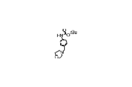 CC(C)(C)OC(=O)Nc1ccc(CN2CCOCC2)cc1